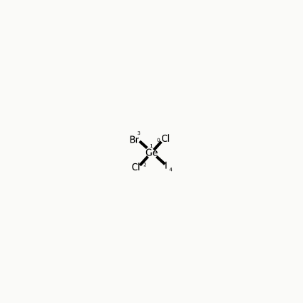 [Cl][Ge]([Cl])([Br])[I]